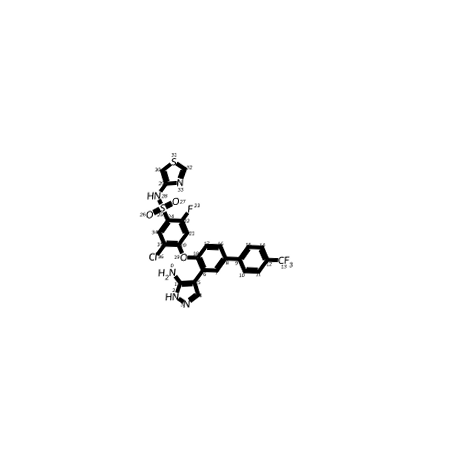 Nc1[nH]ncc1-c1cc(-c2ccc(C(F)(F)F)cc2)ccc1Oc1cc(F)c(S(=O)(=O)Nc2cscn2)cc1Cl